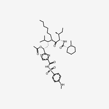 CCCCCCN(C(=O)[C@@H](NC(=O)[C@H]1CCCCN1C)[C@@H](C)CC)[C@H](C[C@@H](OC(C)=O)c1nc(C(=O)NS(=O)(=O)c2ccc(NC)cc2)cs1)C(C)C